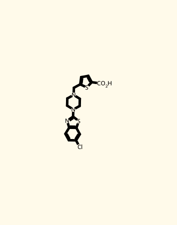 O=C(O)c1ccc(CN2CCN(c3nc4ccc(Cl)cc4s3)CC2)s1